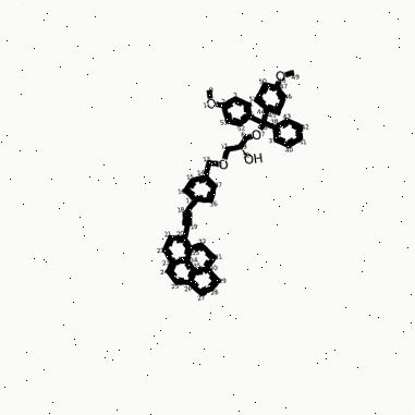 COc1ccc(C(OC[C@H](O)COCc2ccc(C#Cc3ccc4ccc5cccc6ccc3c4c56)cc2)(c2ccccc2)c2ccc(OC)cc2)cc1